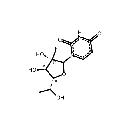 CC(O)[C@H]1OC(n2ccc(=O)[nH]c2=O)[C@](O)(F)[C@@H]1O